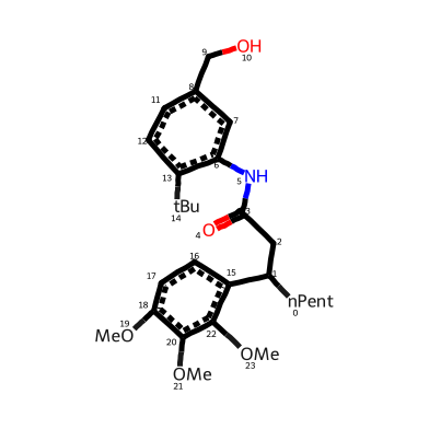 CCCCCC(CC(=O)Nc1cc(CO)ccc1C(C)(C)C)c1ccc(OC)c(OC)c1OC